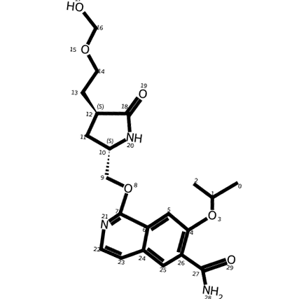 CC(C)Oc1cc2c(OC[C@@H]3C[C@@H](CCOCO)C(=O)N3)nccc2cc1C(N)=O